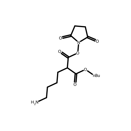 CCCCOC(=O)C(CCCCN)C(=O)ON1C(=O)CCC1=O